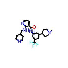 CN1CCC(c2cc(NC(=O)c3cccnc3NCc3ccncc3)cc(C(F)(F)F)c2)CC1